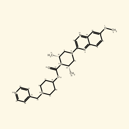 COc1ccc2nc(N3C[C@@H](C)N(C(=O)OC4CCN(Cc5ccncc5)CC4)[C@@H](C)C3)cnc2c1